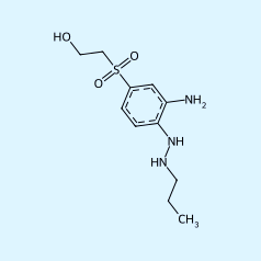 CCCNNc1ccc(S(=O)(=O)CCO)cc1N